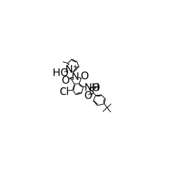 Cc1cccc(N2C(=O)c3c(Cl)ccc(NS(=O)(=O)c4ccc(C(C)(C)C)cc4)c3C2=O)[n+]1O